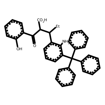 CCC(c1cccc(C(c2ccccc2)(c2ccccc2)c2ccccc2)c1N)C(C(=O)O)C(=O)c1ccccc1O